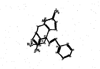 C=C1C=CC2=C(CC3C=C(C)CC2(N=Cc2ccccc2)/C3=C/C)N1